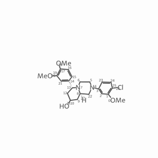 COc1cc(N2CCN3[C@H](CC(O)C[C@@H]3c3ccc(OC)c(OC)c3)C2)ccc1Cl